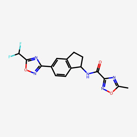 Cc1nc(C(=O)NC2CCc3cc(-c4noc(C(F)F)n4)ccc32)no1